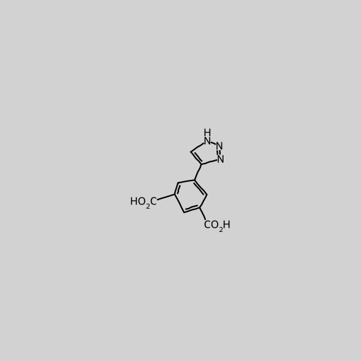 O=C(O)c1cc(C(=O)O)cc(-c2c[nH]nn2)c1